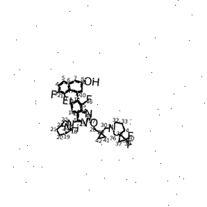 CCc1c(F)ccc2cc(O)cc(-c3ccc4c(N5CC6CCC(C5)N6)nc(OCC5(CN6CCCC7(C6)CC7(F)F)CC5)nc4c3F)c12